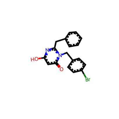 O=c1cc(O)nc(Cc2ccccc2)n1Cc1ccc(Br)cc1